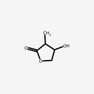 CC1C(=O)OCC1O